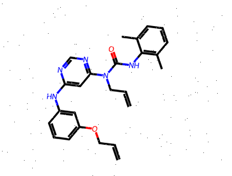 C=CCOc1cccc(Nc2cc(N(CC=C)C(=O)Nc3c(C)cccc3C)ncn2)c1